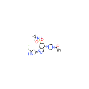 CC(C)C(=O)N1CCN(c2cc(S(=O)(=O)NC3(C)CC3)cc3c2cnn3[C@H]2CN[C@@H](CF)C2)CC1